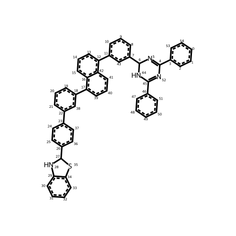 c1ccc(C2=NC(c3cccc(-c4cccc5c(-c6cccc(-c7ccc(C8Nc9ccccc9S8)cc7)c6)cccc45)c3)NC(c3ccccc3)=N2)cc1